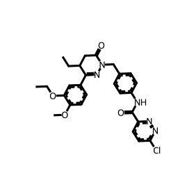 CCOc1cc(C2=NN(Cc3ccc(NC(=O)c4ccc(Cl)nn4)cc3)C(=O)CC2CC)ccc1OC